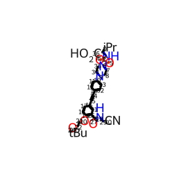 CC(C)C(NS(=O)(=O)N1CCN(c2ccc(C#Cc3ccc(OCCOC(C)(C)C)c(C(=O)NCC#N)c3)cc2)CC1)C(=O)O